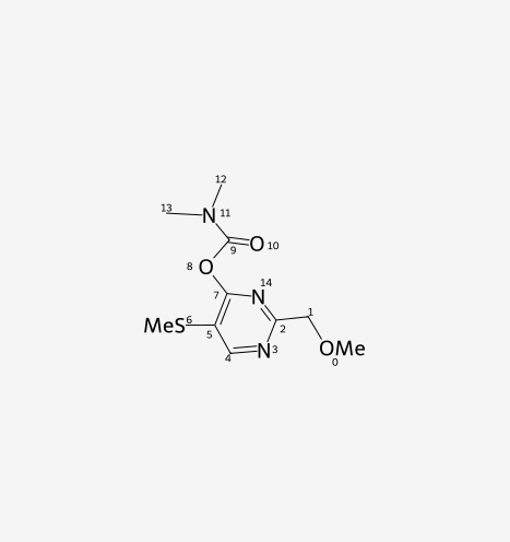 COCc1ncc(SC)c(OC(=O)N(C)C)n1